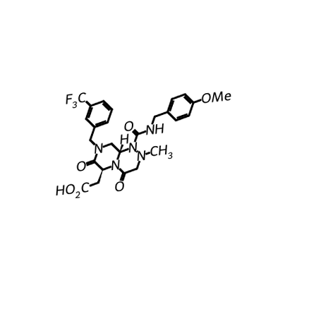 COc1ccc(CNC(=O)N2[C@H]3CN(Cc4cccc(C(F)(F)F)c4)C(=O)[C@H](CC(=O)O)N3C(=O)CN2C)cc1